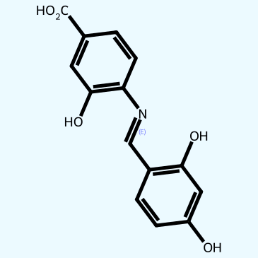 O=C(O)c1ccc(/N=C/c2ccc(O)cc2O)c(O)c1